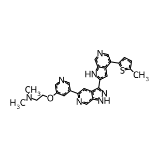 Cc1ccc(-c2cncc3[nH]c(-c4n[nH]c5cnc(-c6cncc(OCCN(C)C)c6)cc45)cc23)s1